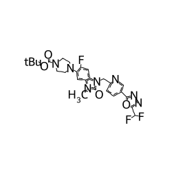 Cn1c(=O)n(Cc2ccc(-c3nnc(C(F)F)o3)cn2)c2cc(F)c(N3CCN(C(=O)OC(C)(C)C)CC3)cc21